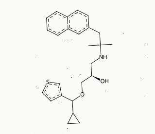 CC(C)(Cc1ccc2ccccc2c1)NC[C@@H](O)COC(c1ccsc1)C1CC1